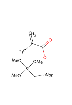 C=C(C)C([O])=O.CCCCCCCCCC[Si](OC)(OC)OC